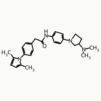 Cc1ccc(C)n1-c1ccc(CC(=O)Nc2ccc(N3CCC(N(C)C)C3)cc2)cc1